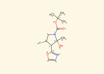 CC(C)(C)OC(=O)N1CC(F)C(c2ncco2)C1(C)O